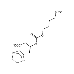 C1CN2CC[C+]1CC2.CCCCCCCCCCCCCCOC(=O)O[C@@H](C)CC(=O)[O-]